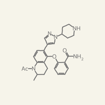 CC(=O)N1c2ccc(-c3cnn(C4CCNCC4)c3)c(Oc3ccccc3C(N)=O)c2CCC1C